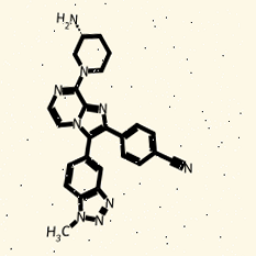 Cn1nnc2cc(-c3c(-c4ccc(C#N)cc4)nc4c(N5CCC[C@@H](N)C5)nccn34)ccc21